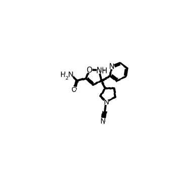 N#CN1CCC(C2(c3ccccn3)C=C(C(N)=O)ON2)C1